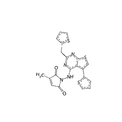 CC1=CC(=O)N(Nc2nc(Cc3cccs3)nc3scc(-c4cccs4)c23)C1=O